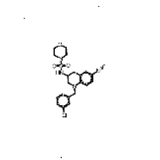 [C-]#[N+]c1ccc2c(c1)CC(NS(=O)(=O)N1CCOCC1)CN2Cc1cccc(Cl)c1